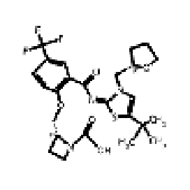 CC(C)(C)c1cn(C[C@H]2CCCO2)c(=NC(=O)c2cc(C(F)(F)F)ccc2OC[C@H]2CCN2C(=O)O)s1